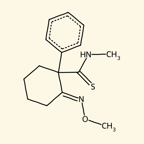 CNC(=S)C1(c2ccccc2)CCCCC1=NOC